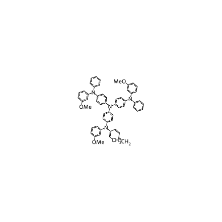 C=C/C=C\C(=C/C)N(c1ccc(N(c2ccc(N(c3ccccc3)c3cccc(OC)c3)cc2)c2ccc(N(c3ccccc3)c3cccc(OC)c3)cc2)cc1)c1cccc(OC)c1